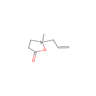 C=CC[Si]1(C)CCC(=O)O1